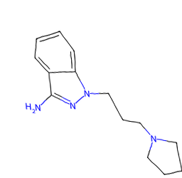 Nc1nn(CCCN2CCCC2)c2ccccc12